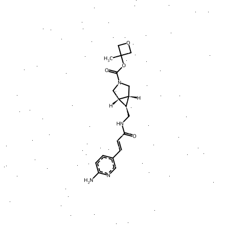 CC1(OC(=O)N2C[C@@H]3[C@@H](CNC(=O)/C=C/c4ccc(N)nc4)[C@@H]3C2)COC1